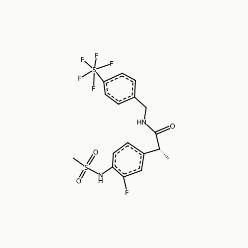 C[C@@H](C(=O)NCc1ccc(S(F)(F)(F)(F)F)cc1)c1ccc(NS(C)(=O)=O)c(F)c1